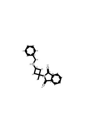 CC1(N2C(=O)c3ccccc3C2=O)CC(OCc2ccccc2)C1